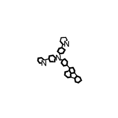 C1=NC(c2ccc(N(c3ccc(-c4ccccn4)cc3)c3ccc(-c4ccc5c6c(cccc46)-c4ccccc4-5)cc3)cc2)=CCC1